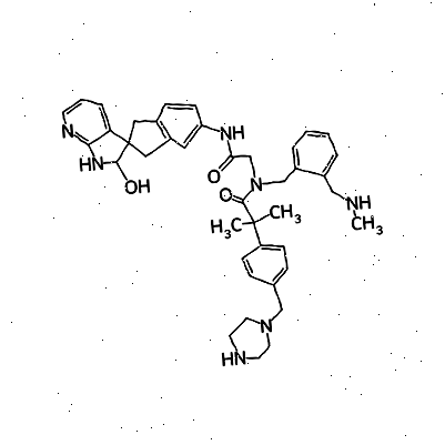 CNCc1ccccc1CN(CC(=O)Nc1ccc2c(c1)CC1(C2)c2cccnc2NC1O)C(=O)C(C)(C)c1ccc(CN2CCNCC2)cc1